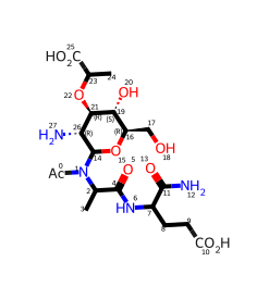 CC(=O)N(C(C)C(=O)NC(CCC(=O)O)C(N)=O)C1O[C@H](CO)[C@@H](O)[C@H](OC(C)C(=O)O)[C@H]1N